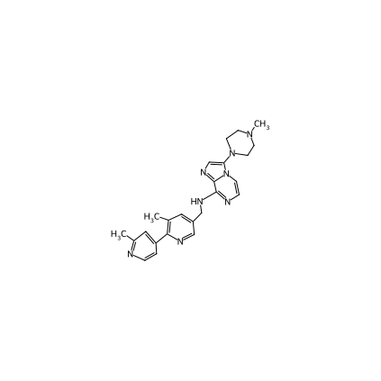 Cc1cc(-c2ncc(CNc3nccn4c(N5CCN(C)CC5)cnc34)cc2C)ccn1